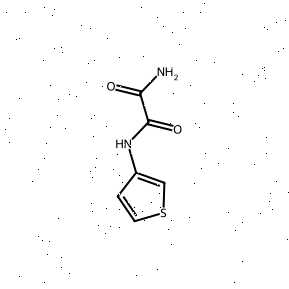 NC(=O)C(=O)Nc1ccsc1